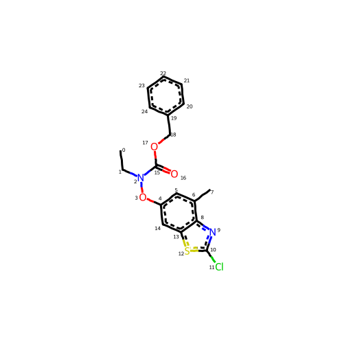 CCN(Oc1cc(C)c2nc(Cl)sc2c1)C(=O)OCc1ccccc1